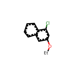 CCOc1cc(Cl)c2ccccc2c1